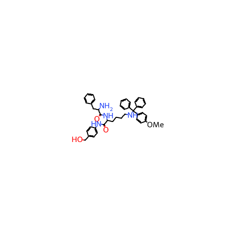 COc1ccc(C(NCCCCC(NC(=O)C(N)Cc2ccccc2)C(=O)Nc2ccc(CO)cc2)(c2ccccc2)c2ccccc2)cc1